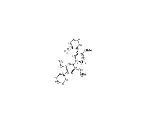 CCCCOc1cc(N(C)/N=C(\C(=O)OC)c2cccc[n+]2C)c(OCCCC)cc1N1CCOCC1